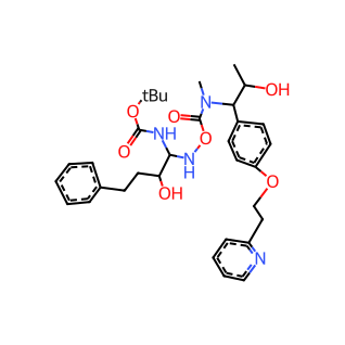 CC(O)C(c1ccc(OCCc2ccccn2)cc1)N(C)C(=O)ONC(NC(=O)OC(C)(C)C)C(O)CCc1ccccc1